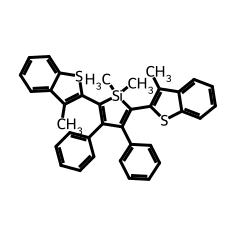 Cc1c(C2=C(c3ccccc3)C(c3ccccc3)=C(c3sc4ccccc4c3C)[Si]2(C)C)sc2ccccc12